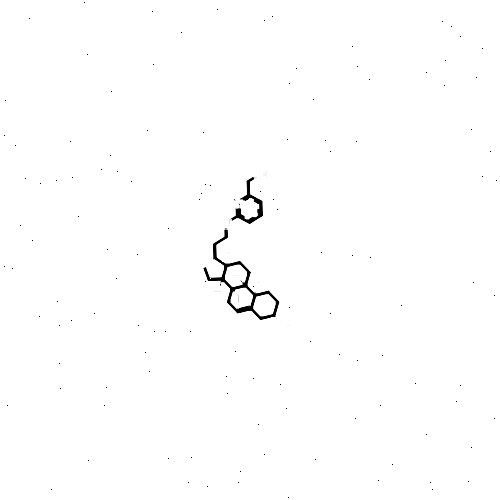 C[C@H](COc1cccc(CO)n1)[C@H]1CC[C@H]2[C@@H]3CC=C4C[C@@H](O)CC[C@]4(C)[C@H]3CC[C@]12C